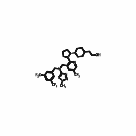 Cn1nnc(N(Cc2cc(C(F)(F)F)cc(C(F)(F)F)c2)Cc2cc(C(F)(F)F)cnc2N2CCC[C@@H]2C2CCC(CCO)CC2)n1